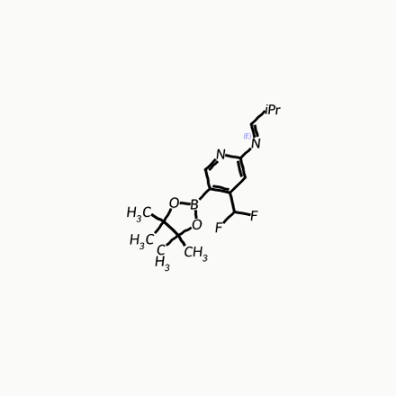 CC(C)/C=N/c1cc(C(F)F)c(B2OC(C)(C)C(C)(C)O2)cn1